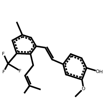 COc1cc(/C=C/c2cc(C)cc(C(F)(F)F)c2CC=C(C)C)ccc1O